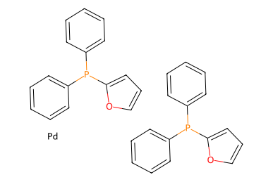 [Pd].c1ccc(P(c2ccccc2)c2ccco2)cc1.c1ccc(P(c2ccccc2)c2ccco2)cc1